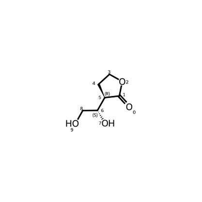 O=C1OCC[C@@H]1[C@H](O)CO